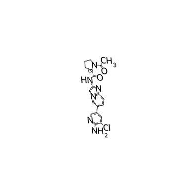 CC(=O)N1CCC[C@H]1C(=O)Nc1cn2cc(-c3cnc(N)c(Cl)c3)ccc2n1